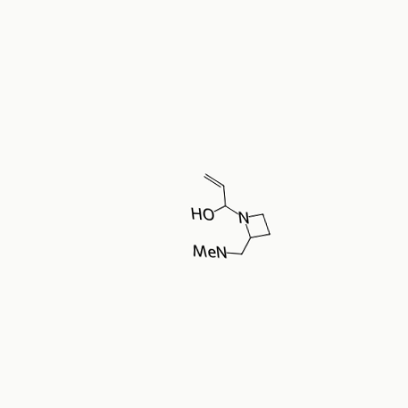 C=CC(O)N1CCC1CNC